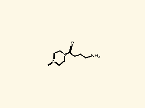 CN1CCN(C(=O)CCCN)CC1